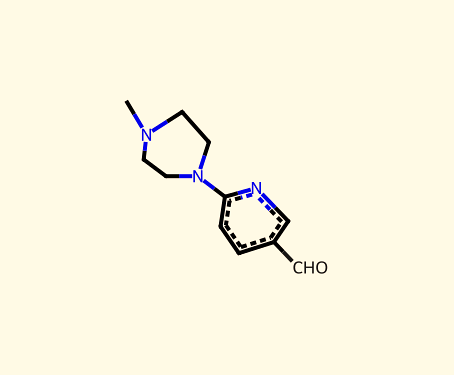 CN1CCN(c2ccc(C=O)cn2)CC1